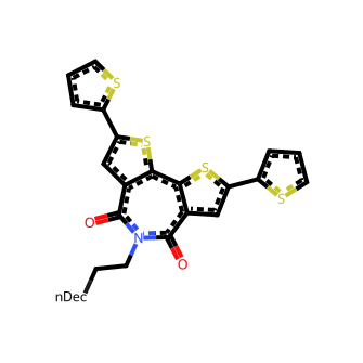 CCCCCCCCCCCCn1c(=O)c2cc(-c3cccs3)sc2c2sc(-c3cccs3)cc2c1=O